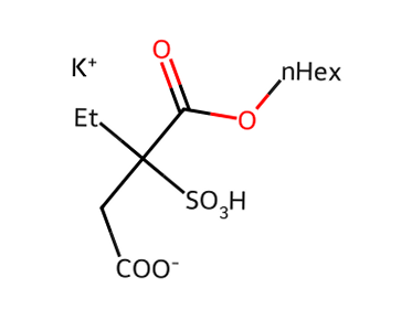 CCCCCCOC(=O)C(CC)(CC(=O)[O-])S(=O)(=O)O.[K+]